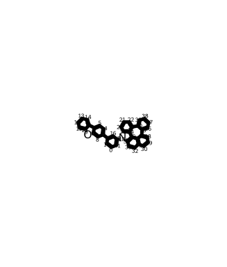 c1cc(-c2ccc3c(c2)oc2ccccc23)cc(-n2c3cccc4c3c3c5c(cccc5ccc32)-c2ccccc2-4)c1